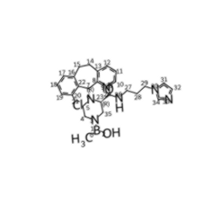 CB(O)N1CCN([C@H]2c3ncccc3CCc3cccc(Cl)c32)[C@@H](C(=O)NCCCn2ccnc2)C1